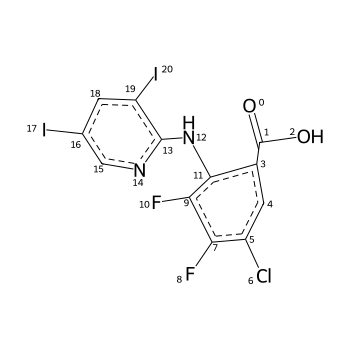 O=C(O)c1cc(Cl)c(F)c(F)c1Nc1ncc(I)cc1I